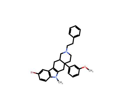 COc1cccc(C23CCN(CCc4ccccc4)CC2Cc2c(n(C)c4ccc(Br)cc24)C3)c1